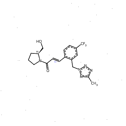 Cc1nnn(Cc2cc(C(F)(F)F)ccc2/C=C/C(=O)N2CCC[C@H]2CO)n1